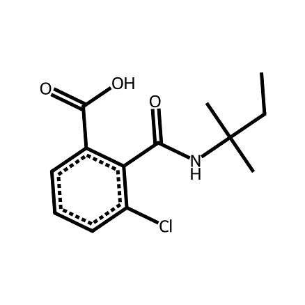 CCC(C)(C)NC(=O)c1c(Cl)cccc1C(=O)O